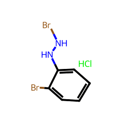 BrNNc1ccccc1Br.Cl